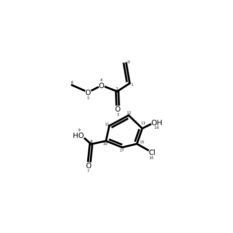 C=CC(=O)OOC.O=C(O)c1ccc(O)c(Cl)c1